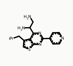 CC(C)Cc1csc2nc(-c3ccncc3)nc(C(N)CN)c12